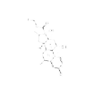 C[C@@H]1C[C@H]2[C@@H]3C[C@H](F)C4=CC(=O)C=C[C@]4(C)C3(F)[C@@H](O)C[C@]2(C)[C@]1(O)C(=O)SCF